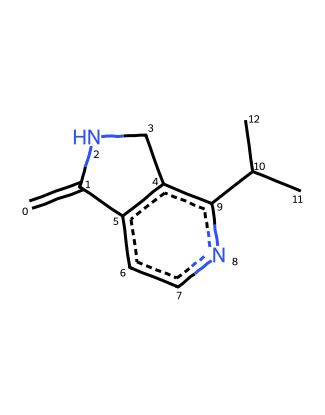 C=C1NCc2c1ccnc2C(C)C